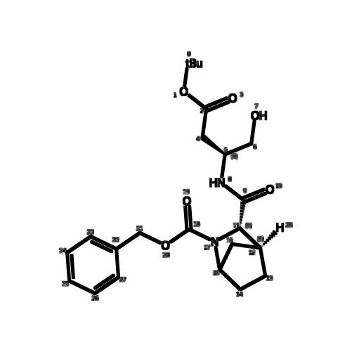 CC(C)(C)OC(=O)C[C@@H](CO)NC(=O)[C@@H]1[C@H]2CCC(C2)N1C(=O)OCc1ccccc1